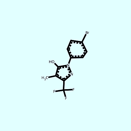 Cc1c(C(F)(F)F)nn(-c2ccc(Br)cc2)c1O